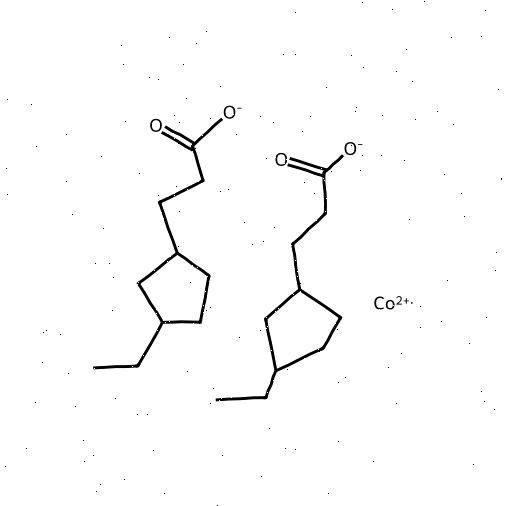 CCC1CCC(CCC(=O)[O-])C1.CCC1CCC(CCC(=O)[O-])C1.[Co+2]